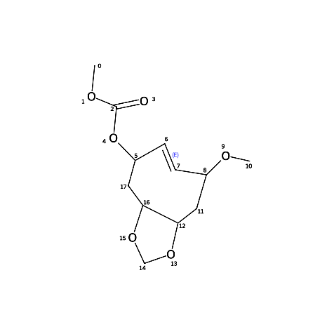 COC(=O)OC1/C=C/C(OC)CC2OCOC2C1